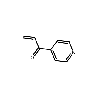 C=CC(=O)c1ccncc1